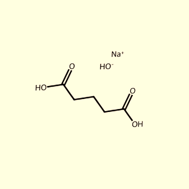 O=C(O)CCCC(=O)O.[Na+].[OH-]